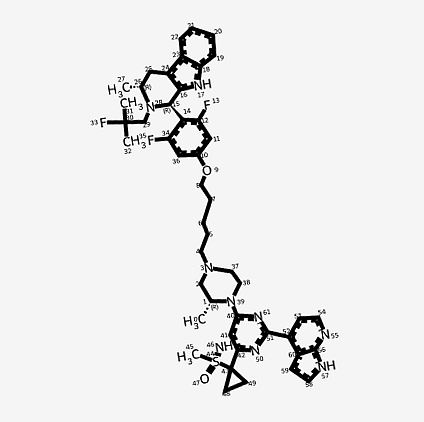 C[C@@H]1CN(CCCCCOc2cc(F)c([C@@H]3c4[nH]c5ccccc5c4C[C@@H](C)N3CC(C)(C)F)c(F)c2)CCN1c1cc(C2(S(C)(=N)=O)CC2)nc(-c2ccnc3[nH]ccc23)n1